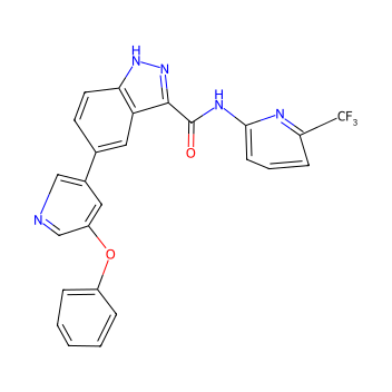 O=C(Nc1cccc(C(F)(F)F)n1)c1n[nH]c2ccc(-c3cncc(Oc4ccccc4)c3)cc12